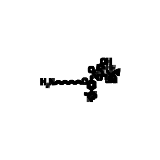 Cc1ncsc1-c1ccc(CNC(=O)[C@@H]2C[C@@H](O)CN2C(=O)[C@@H](NC(=O)C2(F)CC2)C(C)(C)C)c(OCCCCCCCCCN)c1